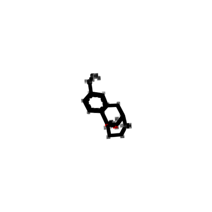 COc1ccc2c(c1)CC1NCCC23CCCCC13